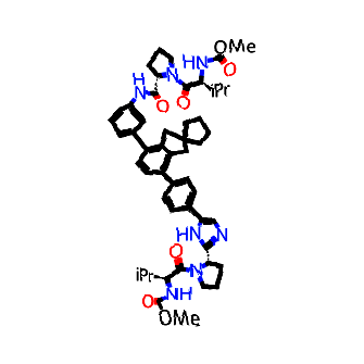 COC(=O)N[C@H](C(=O)N1CCC[C@H]1C(=O)Nc1cccc(-c2ccc(-c3ccc(-c4cnc([C@@H]5CCCN5C(=O)[C@@H](NC(=O)OC)C(C)C)[nH]4)cc3)c3c2CC2(CCCC2)C3)c1)C(C)C